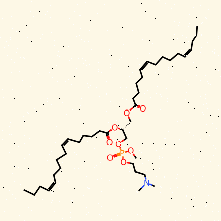 CCC/C=C\CCCC/C=C\CCCCC(=O)OC[C@H](COP(=O)(OC)OCCCN(C)C)OC(=O)CCCC/C=C\CCCC/C=C\CCC